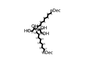 CCCCCCCCCCCCCCCCCC[N+](CCCCCCCCCCCCCCCCCC)(C(O)CO)C(O)CO